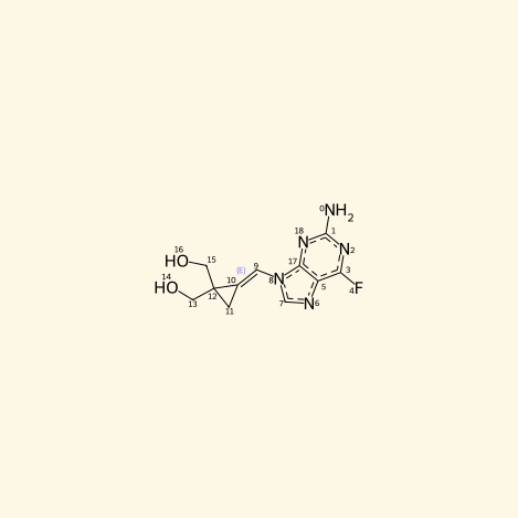 Nc1nc(F)c2ncn(/C=C3\CC3(CO)CO)c2n1